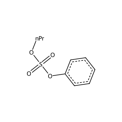 CCCOS(=O)(=O)Oc1ccccc1